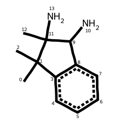 CC1(C)c2ccccc2C(N)C1(C)N